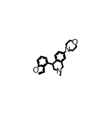 CN1Cc2cc(N3CCOCC3)ccc2C(c2cccc3occc23)C1